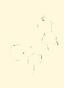 COC1(c2cc(F)cc(Oc3ccc4c(c3)OCC(=O)N4)c2)CCOCC1